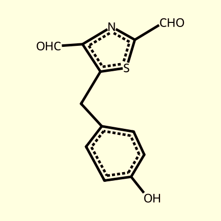 O=Cc1nc(C=O)c(Cc2ccc(O)cc2)s1